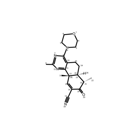 Cc1nc(N2CCOCC2)c2c(n1)[C@@]1(C)C=C(C#N)C(=O)[C@@H](C)[C@@H]1CC2